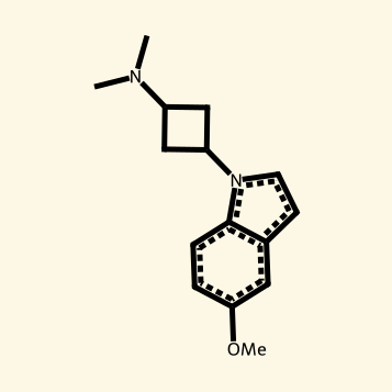 COc1ccc2c(ccn2C2CC(N(C)C)C2)c1